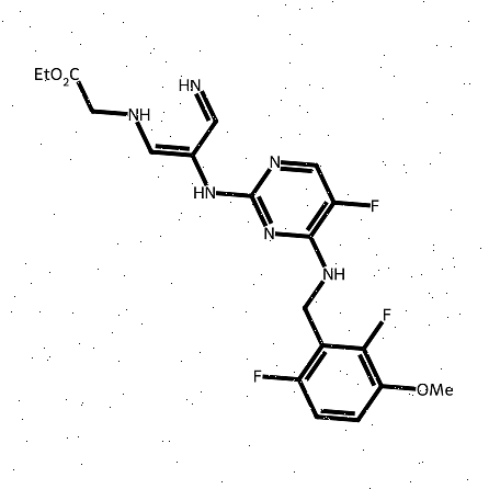 CCOC(=O)CN/C=C(\C=N)Nc1ncc(F)c(NCc2c(F)ccc(OC)c2F)n1